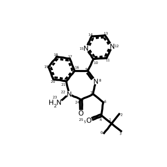 CC(C)(C)C(=O)CC1N=C(c2cnccn2)c2ccccc2N(N)C1=O